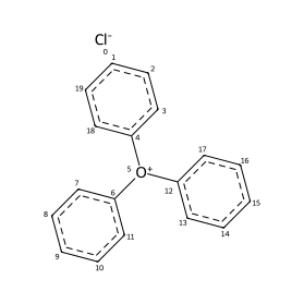 [Cl-].c1ccc([O+](c2ccccc2)c2ccccc2)cc1